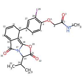 CNC(=O)COc1ccc(C2C=CC=C3C(=O)N4C(=C32)OC(=O)C4C(C)C)cc1I